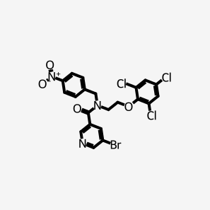 O=C(c1cncc(Br)c1)N(CCOc1c(Cl)cc(Cl)cc1Cl)Cc1ccc([N+](=O)[O-])cc1